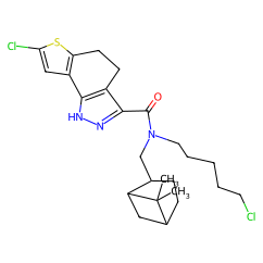 CC1(C)C2CCC(CN(CCCCCCl)C(=O)c3n[nH]c4c3CCc3sc(Cl)cc3-4)C1C2